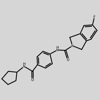 O=C(NC1CCCC1)c1ccc(NC(=O)N2Cc3ccc(F)cc3C2)cc1